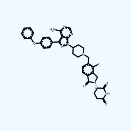 Nc1ncnc2c1c(-c1ccc(Oc3ccccc3)cc1)nn2C1CCN(Cc2ccc3c(c2F)CN([C@H]2CCC(=O)NC2=O)C3=O)CC1